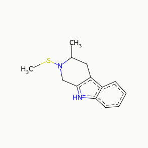 CSN1Cc2[nH]c3ccccc3c2CC1C